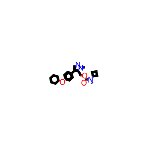 CN(C(=O)OCc1c(-c2ccc(OC3CCCCC3)cc2)cnn1C)C1CCC1